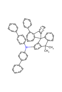 CC1(C)c2ccccc2C2(c3ccccc3-c3c(-c4ccccc4)cccc32)c2cc(N(c3ccc(-c4ccccc4)cc3)c3ccc(-c4ccccc4)cc3)ccc21